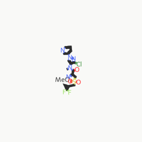 CON=C(CS(=O)(=O)CC1CC1(F)F)C(=O)N(C)c1cn(-c2cccnc2)nc1Cl